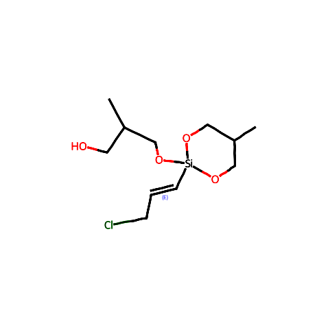 CC(CO)CO[Si]1(/C=C/CCl)OCC(C)CO1